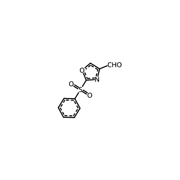 O=Cc1coc(S(=O)(=O)c2ccccc2)n1